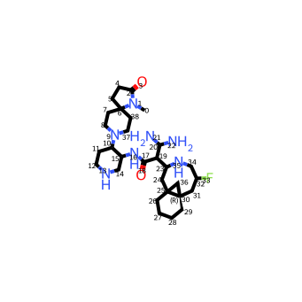 CN1C(=O)CCC12CCN(C1CCNCC1NC(=O)C(C(N)N)C1CC34CCCC[C@]3(CC(F)CN1)C4)CC2